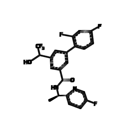 C[C@@H](NC(=O)c1cc(-c2ccc(F)cc2F)cc(C(O)C(F)(F)F)c1)c1ccc(F)cn1